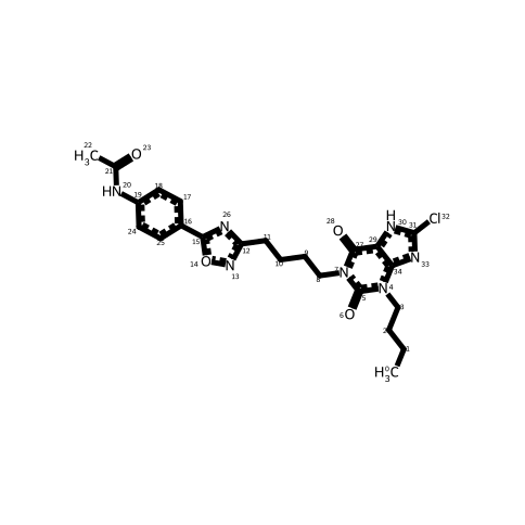 CCCCn1c(=O)n(CCCCc2noc(-c3ccc(NC(C)=O)cc3)n2)c(=O)c2[nH]c(Cl)nc21